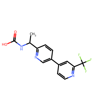 CC(NC(=O)O)c1ccc(-c2ccnc(C(F)(F)F)c2)cn1